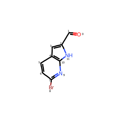 O=Cc1cc2ccc(Br)nc2[nH]1